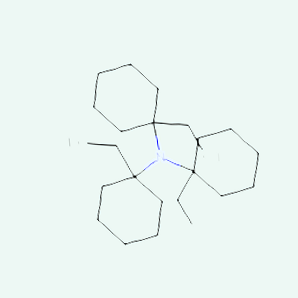 CCC1(N(C2(CC)CCCCC2)C2(CC)CCCCC2)CCCCC1